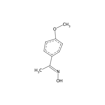 COc1ccc(C(C)=NO)cc1